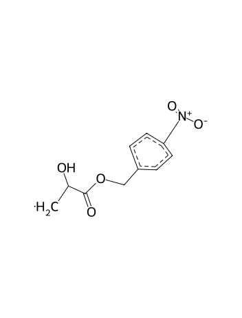 [CH2]C(O)C(=O)OCc1ccc([N+](=O)[O-])cc1